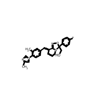 Cc1cn(-c2ccc(/C=C3\CCCN4C3=NOC4(CO)c3ccc(F)cc3)cc2C)cn1